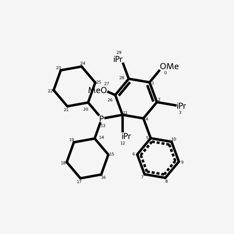 COC1=C(C(C)C)C(c2ccccc2)C(C(C)C)(P(C2CCCCC2)C2CCCCC2)C(OC)=C1C(C)C